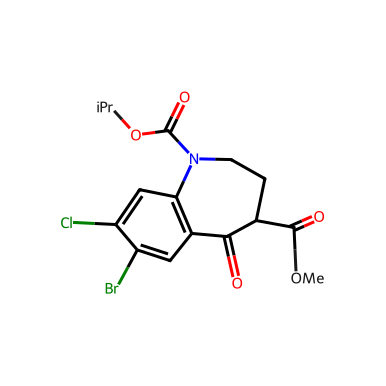 COC(=O)C1CCN(C(=O)OC(C)C)c2cc(Cl)c(Br)cc2C1=O